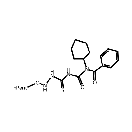 CCCCCONNC(=S)NC(=O)N(C(=O)c1ccccc1)C1CCCCC1